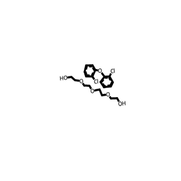 Clc1ccccc1Oc1ccccc1Cl.OCCOCCOCCOCCO